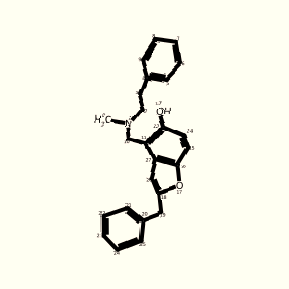 CN(CCc1ccccc1)Cc1c(O)ccc2oc(Cc3ccccc3)cc12